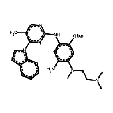 COc1cc(N(C)CCN(C)C)c(N)cc1Nc1ncc(C(F)(F)F)c(-n2ccc3ccccc32)n1